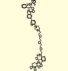 O=C1CCC(N2C(=O)c3cccc(NCCOCCOCCOCCN4CCN(c5ccc(-c6ccc7c(c6)C(=O)N(C(C(=O)Nc6nccs6)c6ccccc6)C7)cn5)CC4)c3C2=O)C(=O)N1